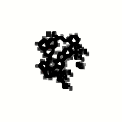 CCCCc1ccccc1-c1cc2c(cc1C(C)(C)C)-c1cc(C(C)(C)C)c(-c3ccccc3CCCC)[c]([Zr+2]([C]3=CC=CC3)=[C](Cc3ccccc3)Cc3ccccc3)c1C2.[Cl-].[Cl-]